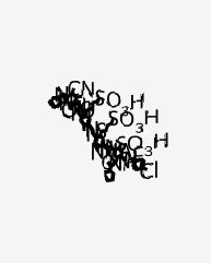 CC(=O)Nc1cc(N=Nc2cc(OCCCS(=O)(=O)O)c(N=Nc3c(C)c(C#N)c4nc5ccccc5n4c3O)cc2C)c(SCCCS(=O)(=O)O)cc1N=Nc1cc(NC(=O)c2ccccc2)c(N=Nc2ccc(Cl)cc2)cc1S(=O)(=O)O